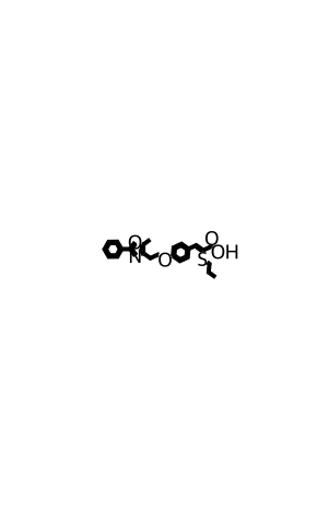 CCCSC(=Cc1ccc(OCCc2nc(-c3ccccc3)oc2C)cc1)C(=O)O